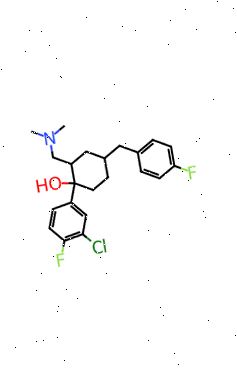 CN(C)CC1CC(Cc2ccc(F)cc2)CCC1(O)c1ccc(F)c(Cl)c1